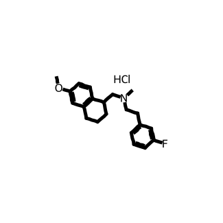 COc1ccc2c(c1)CCCC2CN(C)CCc1cccc(F)c1.Cl